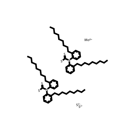 CCCCCCCCCc1ccccc1N(C(=S)[S-])c1ccccc1CCCCCCCCC.CCCCCCCCCc1ccccc1N(C(=S)[S-])c1ccccc1CCCCCCCCC.[Mo+6].[S-2].[S-2]